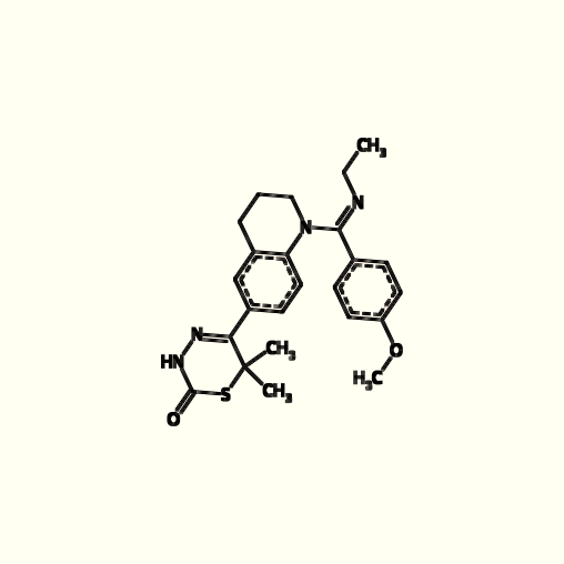 CC/N=C(/c1ccc(OC)cc1)N1CCCc2cc(C3=NNC(=O)SC3(C)C)ccc21